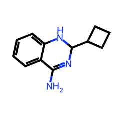 NC1=NC(C2CCC2)Nc2ccccc21